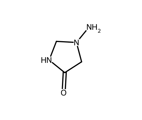 NN1CNC(=O)C1